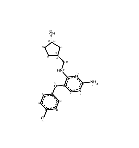 Nc1ncc(Oc2ccc(Cl)cc2)c(NC[C@H]2CC[C@H](O)C2)n1